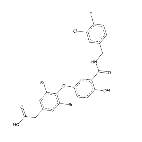 O=C(O)Cc1cc(Br)c(Oc2ccc(O)c(C(=O)NCc3ccc(F)c(Cl)c3)c2)c(Br)c1